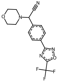 N#CC(c1ccc(-c2noc(C(F)(F)F)n2)cc1)N1CCOCC1